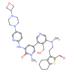 CN(CCc1c(C=O)sc2c1CCCC2)c1cncc(-c2cc(Nc3ccc(N4CCN(C5COC5)CC4)cn3)c(=O)n(C)c2)c1CO